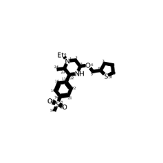 CCN1CC(OCC2CCCS2)NC(c2ccc(S(C)(=O)=O)cc2)C1C